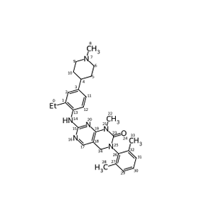 CCc1cc(C2CCN(C)CC2)ccc1Nc1ncc2c(n1)N(C)C(=O)N(c1c(C)cccc1C)C2